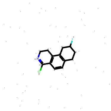 FC1CCc2ccc3c(c2C1)CCN=C3Cl